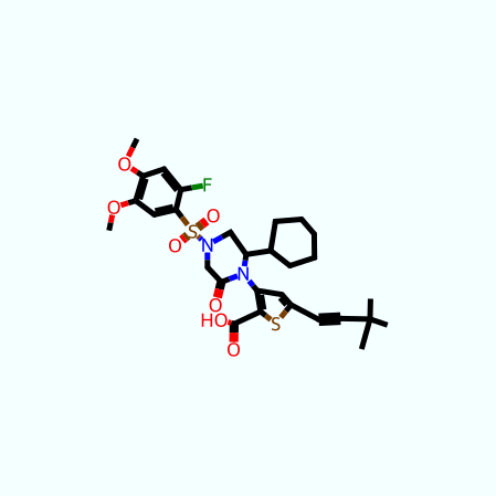 COc1cc(F)c(S(=O)(=O)N2CC(=O)N(c3cc(C#CC(C)(C)C)sc3C(=O)O)C(C3CCCCC3)C2)cc1OC